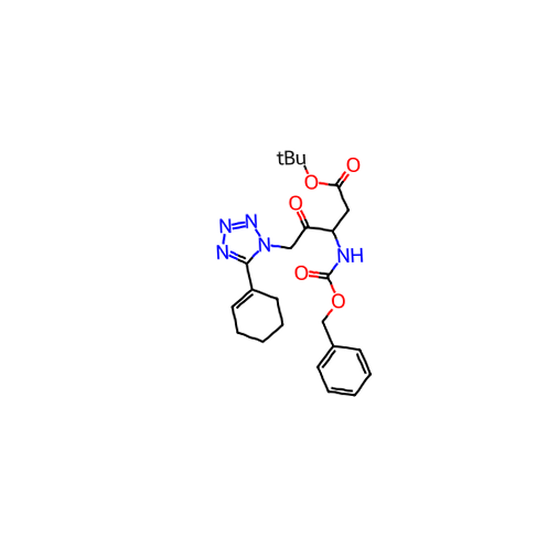 CC(C)(C)OC(=O)CC(NC(=O)OCc1ccccc1)C(=O)Cn1nnnc1C1=CCCCC1